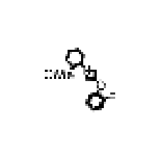 COC1CCCCC1N1CC(Oc2ccccc2F)C1